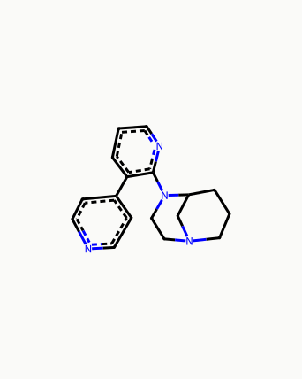 c1cnc(N2CCN3CCCC2C3)c(-c2ccncc2)c1